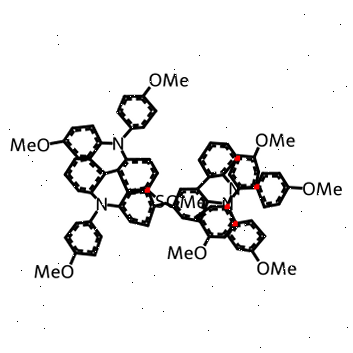 COc1ccc(N(c2ccc(OC)cc2)c2ccccc2-c2cc(Sc3ccc(N(c4ccc(OC)cc4)c4ccc(OC)cc4)c(-c4ccccc4N(c4ccc(OC)cc4)c4ccc(OC)cc4)c3)ccc2N(c2ccc(OC)cc2)c2ccc(OC)cc2)cc1